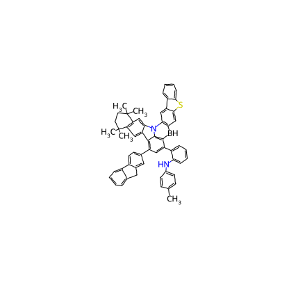 Cc1ccc(Nc2ccccc2-c2cc(-c3ccc4c(c3)Cc3ccccc3-4)c3c4cc5c(cc4n4c3c2Bc2cc3sc6ccccc6c3cc2-4)C(C)(C)CCC5(C)C)cc1